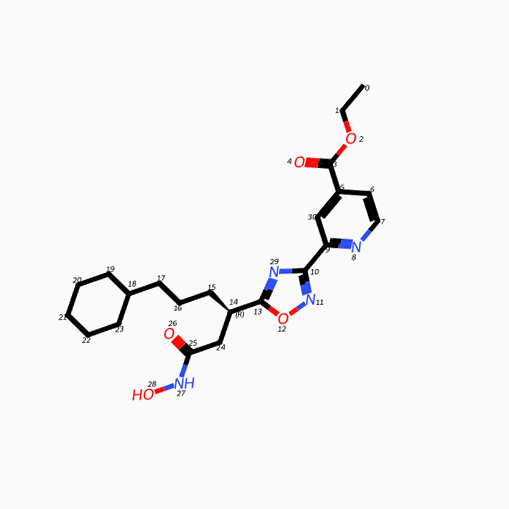 CCOC(=O)c1ccnc(-c2noc([C@H](CCCC3CCCCC3)CC(=O)NO)n2)c1